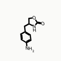 Nc1ccc(CC2COC(=O)N2)cc1